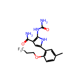 Cc1ccc(OCCC(F)(F)F)c(-c2cc(C(N)=O)c(NC(N)=O)[nH]2)c1